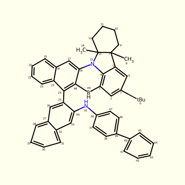 CC(C)(C)c1cc2c3c(c1)C1(C)CCCCC1(C)N3c1cc3ccccc3c(-c3cc4ccccc4cc3Nc3ccc(-c4ccccc4)cc3)c1B2